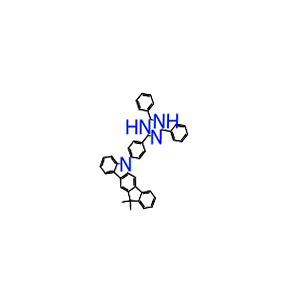 CC1(C)c2ccccc2-c2cc3c(cc21)c1ccccc1n3-c1ccc(C2N=C(c3ccccc3)NC(c3ccccc3)N2)cc1